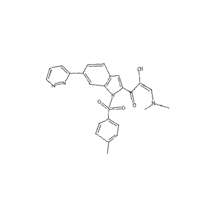 Cc1ccc(S(=O)(=O)n2c(C(=O)/C(C#N)=C\N(C)C)cc3ccc(-c4cccnn4)cc32)cc1